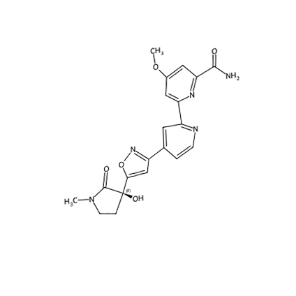 COc1cc(C(N)=O)nc(-c2cc(-c3cc([C@]4(O)CCN(C)C4=O)on3)ccn2)c1